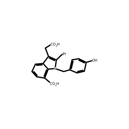 CC(C)c1c(CC(=O)O)c2cccc(C(=O)O)c2n1Cc1ccc(O)cc1